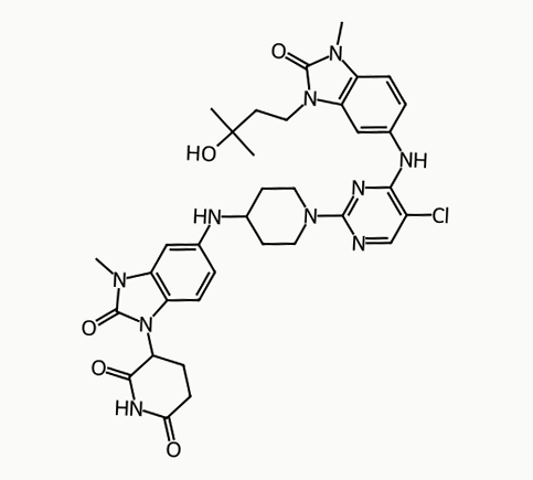 Cn1c(=O)n(CCC(C)(C)O)c2cc(Nc3nc(N4CCC(Nc5ccc6c(c5)n(C)c(=O)n6C5CCC(=O)NC5=O)CC4)ncc3Cl)ccc21